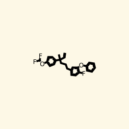 C=CC(C)(CCCc1ccc(F)c(Oc2ccccc2)c1)c1ccc(OC(F)F)cc1